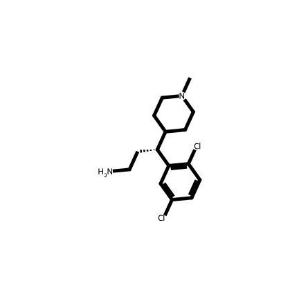 CN1CCC([C@@H](CCN)c2cc(Cl)ccc2Cl)CC1